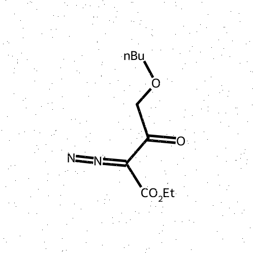 CCCCOCC(=O)C(=[N+]=[N-])C(=O)OCC